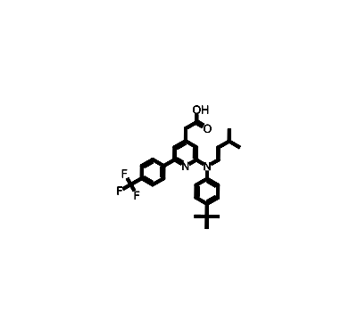 CC(C)CCN(c1ccc(C(C)(C)C)cc1)c1cc(CC(=O)O)cc(-c2ccc(C(F)(F)F)cc2)n1